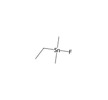 C[CH2][Sn]([CH3])([CH3])[F]